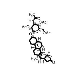 CC(=O)OC[C@H]1O[C@H](O[C@H]2CC[C@@]3(C)[C@H](CC[C@@H]4[C@@H]3CC[C@]3(C)[C@@H]5CC[C@]43O[C@H]3OC(=O)C[C@H]35)C2)[C@H](OC(C)=O)[C@@H](NC(=O)C(F)(F)F)[C@@H]1OC(C)=O